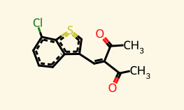 CC(=O)C(=Cc1csc2c(Cl)cccc12)C(C)=O